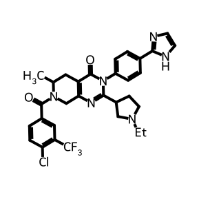 CCN1CCC(c2nc3c(c(=O)n2-c2ccc(-c4ncc[nH]4)cc2)CC(C)N(C(=O)c2ccc(Cl)c(C(F)(F)F)c2)C3)C1